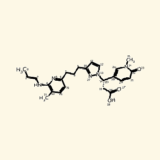 CCCNc1nc(CCCc2ccn([C@@H](CC(=O)O)c3ccc(=O)n(C)c3)n2)ccc1C